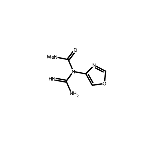 CNC(=O)N(C(=N)N)c1cocn1